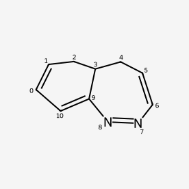 C1=CCC2CC=CN=NC2=C1